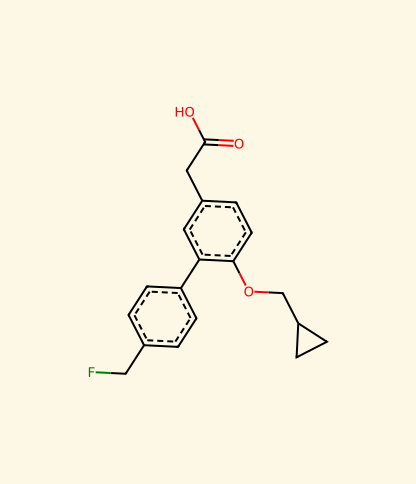 O=C(O)Cc1ccc(OCC2CC2)c(-c2ccc(CF)cc2)c1